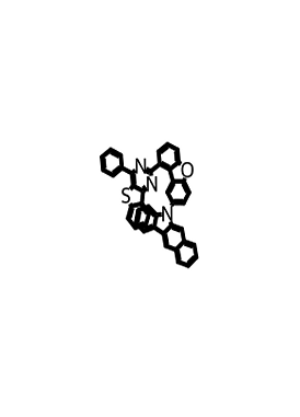 c1ccc(-c2nc(-c3cccc4oc5ccc(-n6c7ccccc7c7cc8ccccc8cc76)cc5c34)nc3c2sc2ccccc23)cc1